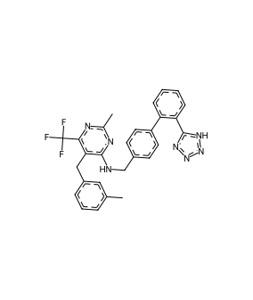 Cc1cccc(Cc2c(NCc3ccc(-c4ccccc4-c4nnn[nH]4)cc3)nc(C)nc2C(F)(F)F)c1